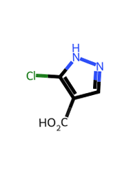 O=C(O)c1cn[nH]c1Cl